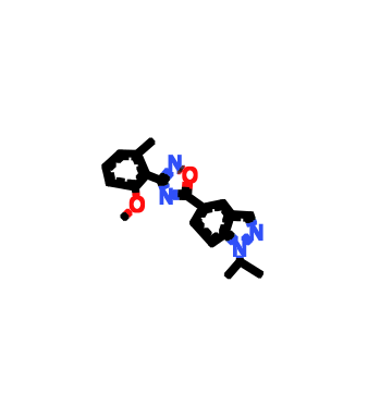 COc1cccc(C)c1-c1noc(-c2ccc3c(cnn3C(C)C)c2)n1